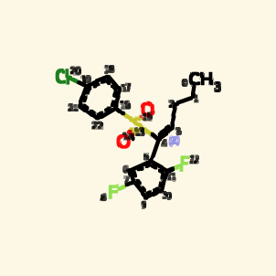 CCC/C=C(/c1cc(F)ccc1F)S(=O)(=O)c1ccc(Cl)cc1